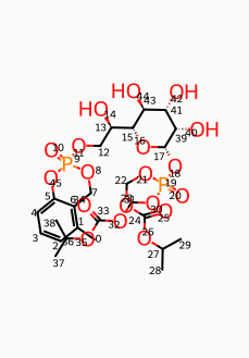 Cc1cccc2c1COP(=O)(OC[C@@H](O)[C@H]1O[C@@H](OP(=O)(OCOC(=O)OC(C)C)OCOC(=O)OC(C)C)[C@@H](O)[C@@H](O)[C@@H]1O)O2